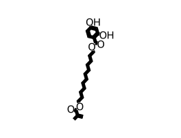 C=C(C)C(=O)OCCCCCCCCCCCCOC(=O)c1ccc(O)cc1O